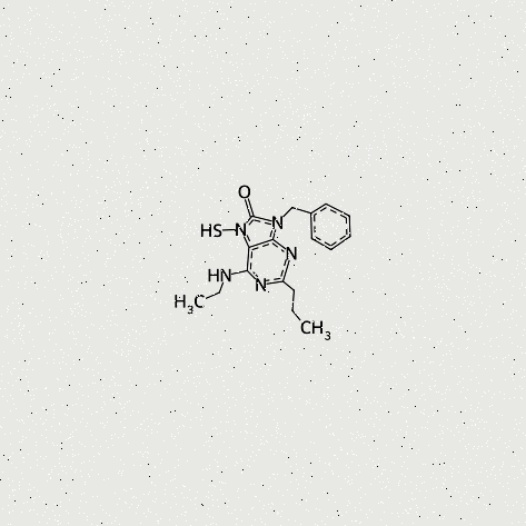 CCCc1nc(NCC)c2c(n1)n(Cc1ccccc1)c(=O)n2S